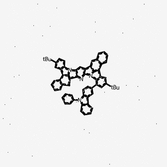 CC(C)(C)c1ccc2c(c1)c1c3ccccc3cc3c4nc5c(cc4n2c31)c1cc2ccccc2c2c3cc(C(C)(C)C)cc(-c4ccc6c(c4)c4ccccc4n6-c4ccccc4)c3n5c12